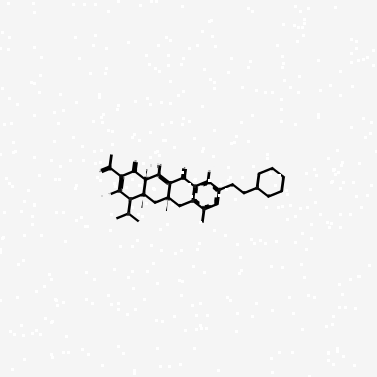 CC(=O)C1=C(O)C(C(C)C)[C@@]2(C)C[C@@]3(C)Cc4c(C)cc(CCC5CCCCC5)c(O)c4C(=O)C3=C(O)[C@@]2(O)C1=O